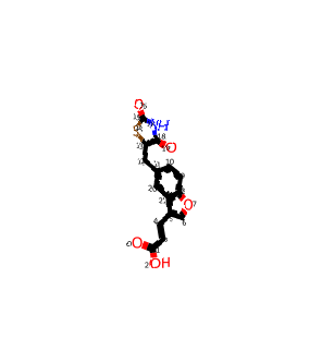 O=C(O)C=Cc1coc2ccc(CC3SC(=O)NC3=O)cc12